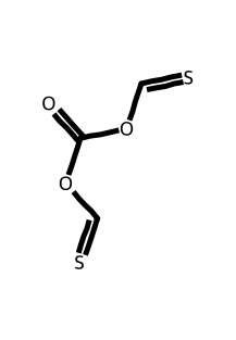 O=C(OC=S)OC=S